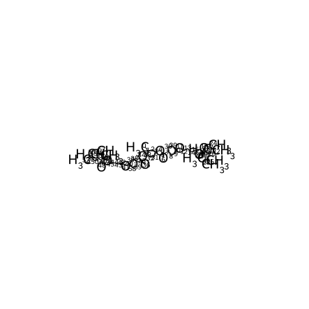 Cc1cc(OC(=O)c2ccc(OCCCCOC(=O)C(CC(C)(C)C)C(C)(C)C)cc2)ccc1OC(=O)c1ccc(OCCCCOC(=O)C(CC(C)C)C(C)(C)C)cc1